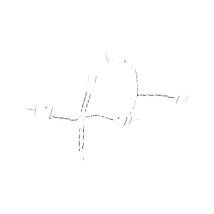 CCC(C)NS(N)(=O)=O